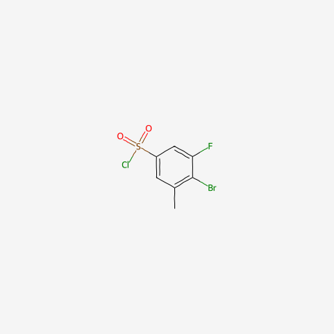 Cc1cc(S(=O)(=O)Cl)cc(F)c1Br